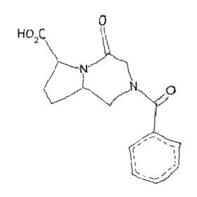 O=C(O)C1CCC2CN(C(=O)c3ccccc3)CC(=O)N21